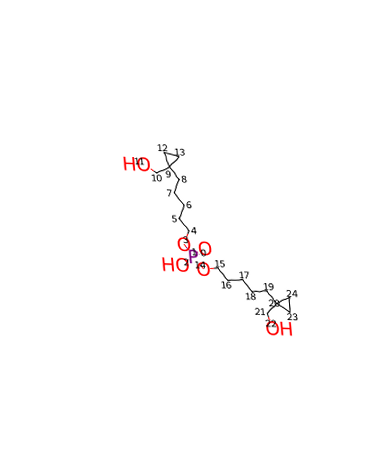 O=P(O)(OCCCCCC1(CO)CC1)OCCCCCC1(CO)CC1